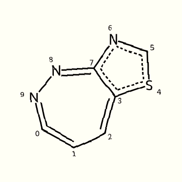 C1=CC=c2scnc2=NN=1